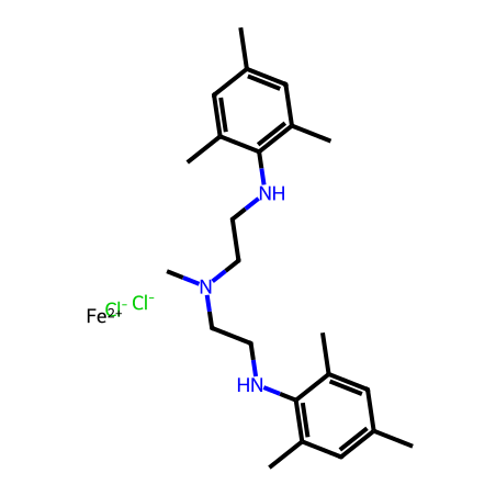 Cc1cc(C)c(NCCN(C)CCNc2c(C)cc(C)cc2C)c(C)c1.[Cl-].[Cl-].[Fe+2]